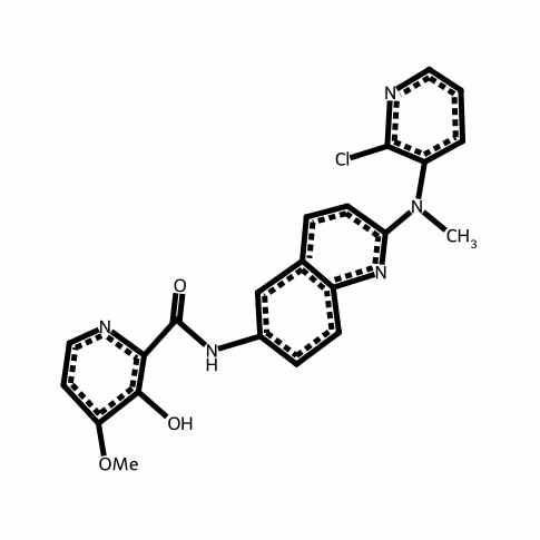 COc1ccnc(C(=O)Nc2ccc3nc(N(C)c4cccnc4Cl)ccc3c2)c1O